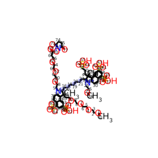 COCCOCCOCCOCCC1(C)\C(=C/C=C/C=C/C=C/C2=[N+](CCOC)c3ccc4c(S(=O)(=O)O)cc(S(=O)(=O)O)cc4c3C2(C)CCCS(=O)(=O)O)N(CCOCCOCCOCCC(=O)ON2C(=O)CCC2=O)c2ccc3c(S(=O)(=O)[O-])cc(S(=O)(=O)O)cc3c21